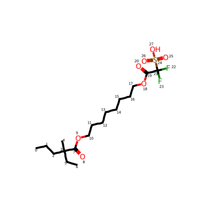 CCCC(C)(CC)C(=O)OCCCCCCCCOC(=O)C(F)(F)S(=O)(=O)O